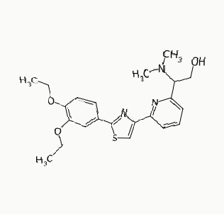 CCOc1ccc(-c2nc(-c3cccc(C(CO)N(C)C)n3)cs2)cc1OCC